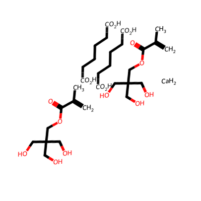 C=C(C)C(=O)OCC(CO)(CO)CO.C=C(C)C(=O)OCC(CO)(CO)CO.O=C(O)CCCCC(=O)O.O=C(O)CCCCC(=O)O.[CaH2]